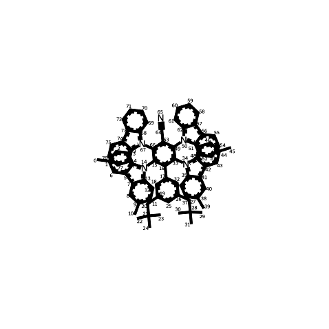 Cc1ccc2c(c1)c1cc(C)ccc1n2-c1c(-c2cc(CC(C)(C)C)cc(CC(C)(C)C)c2)c(-n2c3ccc(C)cc3c3cc(C)ccc32)c(-n2c3ccccc3c3ccccc32)c(C#N)c1-n1c2ccccc2c2ccccc21